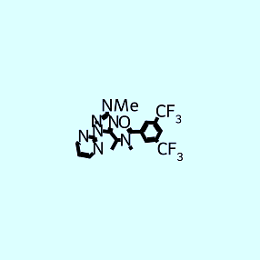 CNc1nc(C(C)N(C)C(=O)c2cc(C(F)(F)F)cc(C(F)(F)F)c2)n(-c2ncccn2)n1